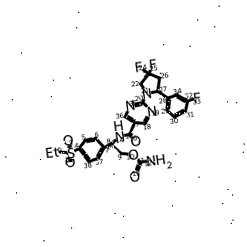 CCS(=O)(=O)c1ccc([C@H](COC(N)=O)NC(=O)c2cnc(N3CC(F)(F)CC3c3cccc(F)c3)nc2)cc1